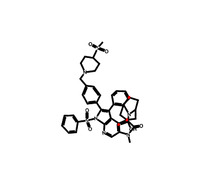 CN1C(=O)C2(CC3CCC(C2)N3C(=O)O)c2c1cnc1c2c(-c2ccccc2)c(-c2ccc(CN3CCC(S(C)(=O)=O)CC3)cc2)n1S(=O)(=O)c1ccccc1